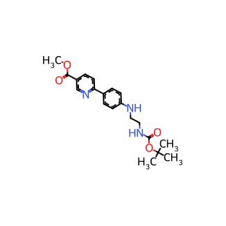 COC(=O)c1ccc(-c2ccc(NCCNC(=O)OC(C)(C)C)cc2)nc1